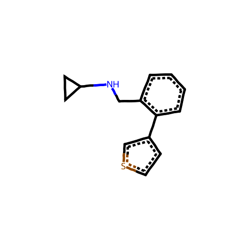 c1ccc(-c2ccsc2)c(CNC2CC2)c1